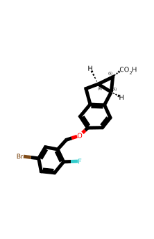 O=C(O)[C@H]1[C@@H]2Cc3cc(OCc4cc(Br)ccc4F)ccc3[C@@H]21